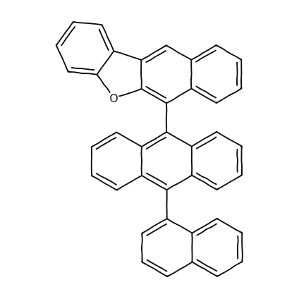 c1ccc2c(-c3c4ccccc4c(-c4c5ccccc5cc5c4oc4ccccc45)c4ccccc34)cccc2c1